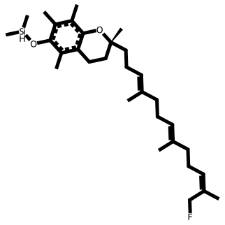 CC(=CCC/C(C)=C/CC/C(C)=C/CC[C@]1(C)CCc2c(C)c(O[SiH](C)C)c(C)c(C)c2O1)CF